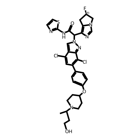 CC(CCO)N1CCC(Oc2ccc(-c3cc(Cl)c4cn(C(C(=O)Nc5nccs5)c5ncn6c5C[C@@H](F)C6)nc4c3Cl)cc2)CC1